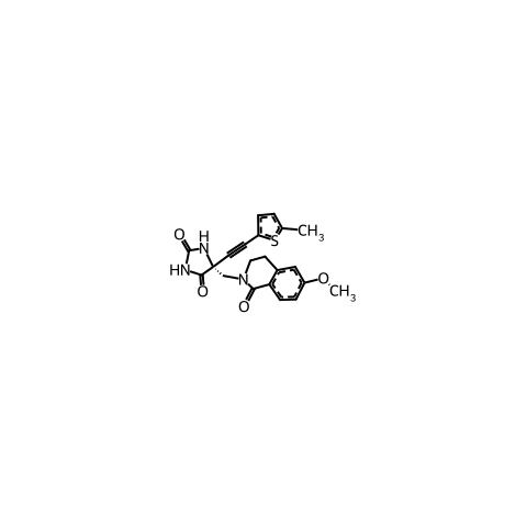 COc1ccc2c(c1)CCN(C[C@@]1(C#Cc3ccc(C)s3)NC(=O)NC1=O)C2=O